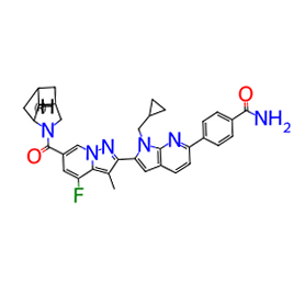 Cc1c(-c2cc3ccc(-c4ccc(C(N)=O)cc4)nc3n2CC2CC2)nn2cc(C(=O)N3CC4CC5CC3[C@H]54)cc(F)c12